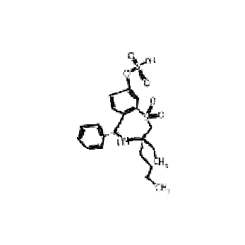 CCCC[C@]1(CC)CS(=O)(=O)c2cc(OS(=O)(=O)O)ccc2[C@@H](c2ccccc2)N1